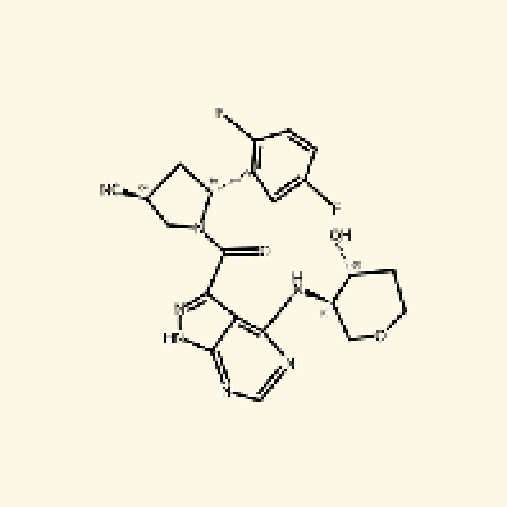 N#C[C@H]1C[C@H](c2cc(F)ccc2F)N(C(=O)c2n[nH]c3ncnc(N[C@@H]4COCC[C@H]4O)c23)C1